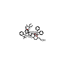 C=CC(C[C@H]1O[C@@H]2[C@@H](OC3CCC(CCO)O[C@@H]3[C@@H]2O[Si](c2ccccc2)(c2ccccc2)C(C)(C)C)[C@H]1O[Si](c1ccccc1)(c1ccccc1)C(C)(C)C)O[Si](CC)(CC)CC